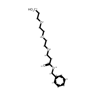 O=C(O)CCOCCOCCOCCC(=O)OCc1ccccc1